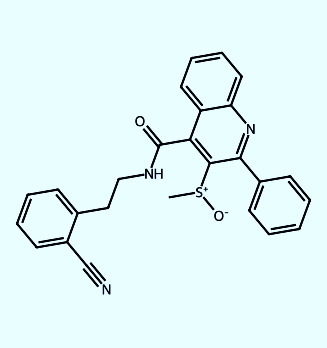 C[S+]([O-])c1c(-c2ccccc2)nc2ccccc2c1C(=O)NCCc1ccccc1C#N